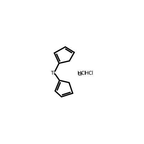 C1=CC[C]([Ti][C]2=CC=CC2)=C1.Cl.Cl.[Li]